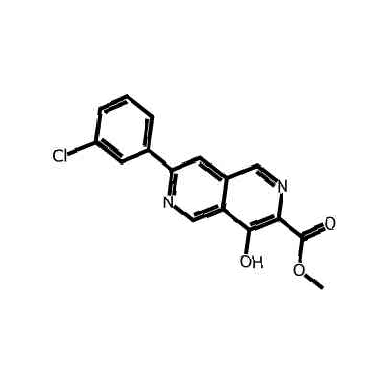 COC(=O)c1ncc2cc(-c3cccc(Cl)c3)ncc2c1O